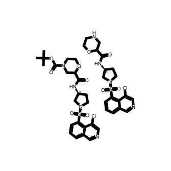 CC(C)(C)OC(=O)N1CCOC(C(=O)N[C@H]2CCN(S(=O)(=O)c3cccc4cncc(Cl)c34)C2)C1.O=C(N[C@H]1CCN(S(=O)(=O)c2cccc3cncc(Cl)c23)C1)C1CNCCO1